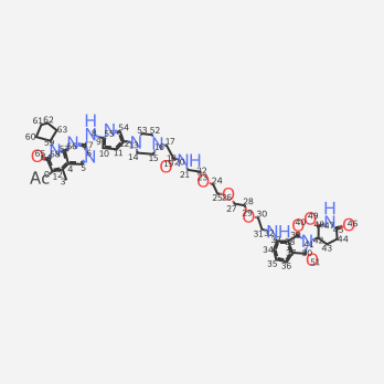 CC(=O)c1c(C)c2cnc(Nc3ccc(N4CCN(CC(=O)NCCOCCOCCOCCNc5cccc6c5C(=O)N(C5CCC(=O)NC5=O)C6=O)CC4)cn3)nc2n(C2CCCC2)c1=O